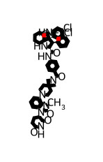 Cn1c(=O)n(C2CCC(=O)NC2=O)c2cccc(N3CCC4(CC3)CN(C(=O)c3ccc(NC(=O)[C@@H]5NC6(CCCCC6)[C@@]6(C(=O)Nc7cc(Cl)ccc76)[C@H]5c5cccc(Cl)c5F)cc3)C4)c21